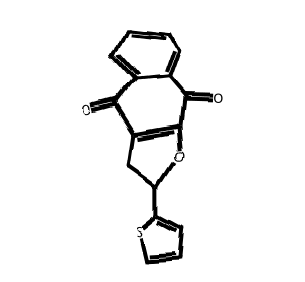 O=C1C2=C(OC(c3cccs3)C2)C(=O)c2ccccc21